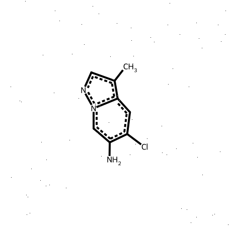 Cc1cnn2cc(N)c(Cl)cc12